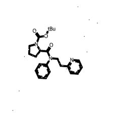 CC(C)(C)OC(=O)N1CCCC1C(=O)N(CCc1ccccn1)c1ccccc1